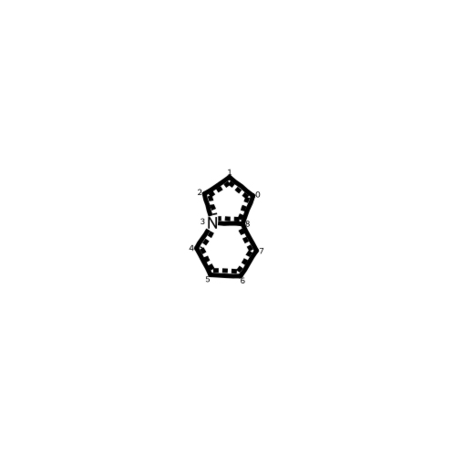 [c]1ccn2ccccc12